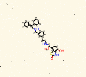 O=c1[nH]c2c(O)ccc(C(O)CNCCc3cccc(CNCC(c4ccccc4)c4ccccc4)c3)c2s1